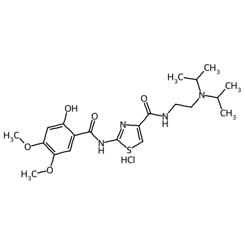 COc1cc(O)c(C(=O)Nc2nc(C(=O)NCCN(C(C)C)C(C)C)cs2)cc1OC.Cl